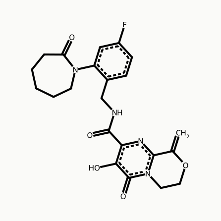 C=C1OCCn2c1nc(C(=O)NCc1ccc(F)cc1N1CCCCCC1=O)c(O)c2=O